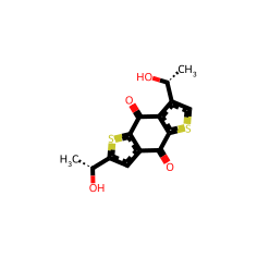 C[C@@H](O)c1cc2c(s1)C(=O)c1c([C@@H](C)O)csc1C2=O